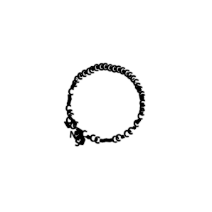 N#CC1(c2ccsc2)CCCCCCCCCCCCCCCCCCCCCCCCCCCCCCCCCCCCCCCCCCCCCCCCC2(CC1)OCCO2